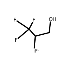 CC(C)C(CO)C(F)(F)F